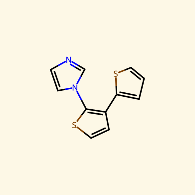 c1csc(-c2ccsc2-n2ccnc2)c1